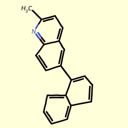 Cc1ccc2cc(-c3cccc4ccccc34)ccc2n1